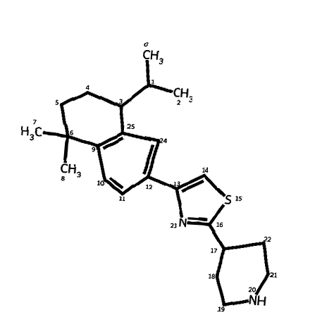 CC(C)C1CCC(C)(C)c2ccc(-c3csc(C4CCNCC4)n3)cc21